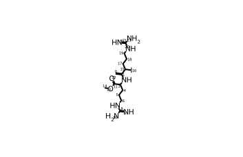 C=C(NC(CCCNC(=N)N)C(=O)OC)C(I)CCCNC(=N)N